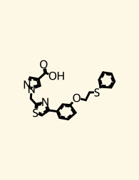 O=C(O)c1cnn(Cc2nc(-c3cccc(OCCSc4ccccc4)c3)cs2)c1